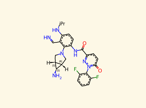 CC(C)Nc1ccc(NC(=O)c2ccc(=O)n(-c3c(F)cccc3F)n2)c(N2C[C@@H]3[C@@H](N)[C@@H]3C2)c1C=N